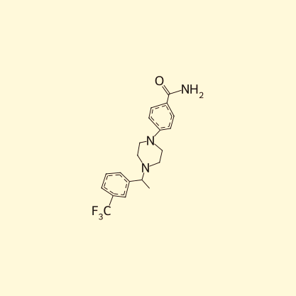 CC(c1cccc(C(F)(F)F)c1)N1CCN(c2ccc(C(N)=O)cc2)CC1